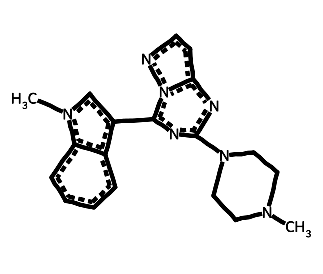 CN1CCN(c2nc(-c3cn(C)c4ccccc34)n3nccc3n2)CC1